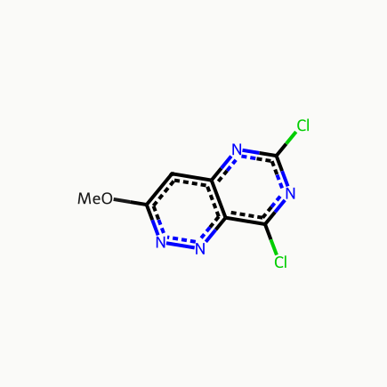 COc1cc2nc(Cl)nc(Cl)c2nn1